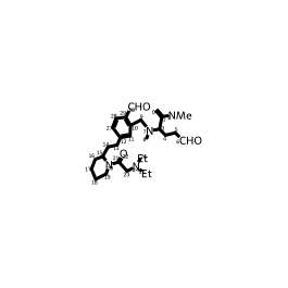 C=C(NC)C(CCC=O)N(C)Cc1cc(CCC2CCCCN2C(=O)CN(CC)CC)ccc1C=O